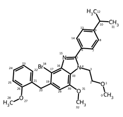 COCCn1c(-c2ccc(C(C)C)cc2)nc2c(Br)c(Cc3ccccc3OC)cc(OC)c21